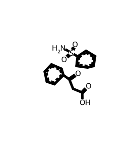 NS(=O)(=O)c1ccccc1.O=C(O)CC(=O)c1ccccc1